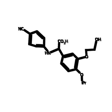 CC(C)Oc1ccc(C(Nc2ccc(C#N)cc2)C(=O)O)cc1OCCO